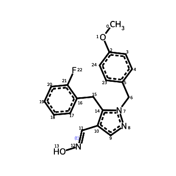 COc1ccc(Cn2ncc(/C=N/O)c2Cc2ccccc2F)cc1